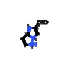 O=[C]c1cn2[nH]ccc2n1